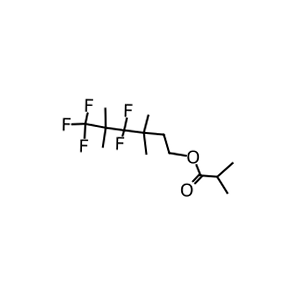 CC(C)C(=O)OCCC(C)(C)C(F)(F)C(C)(C)C(F)(F)F